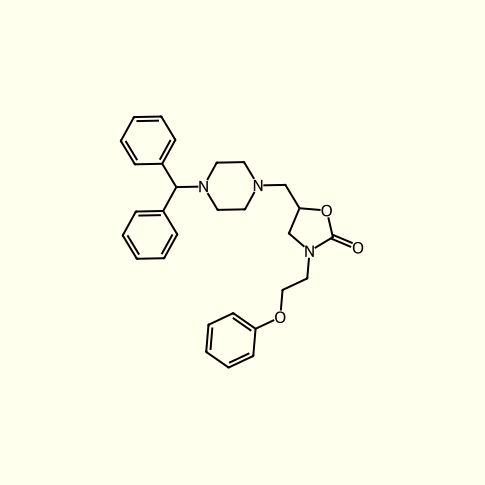 O=C1OC(CN2CCN(C(c3ccccc3)c3ccccc3)CC2)CN1CCOc1ccccc1